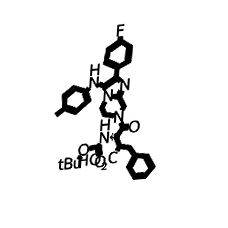 Cc1ccc(Nc2c(-c3ccc(F)cc3)nc3n2CCN(C(=O)[C@@H](NC(=O)OC(C)(C)C)C(Cc2ccccc2)C(=O)O)C3)cc1